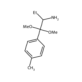 CCC(N)C(OC)(OC)c1ccc(C)cc1